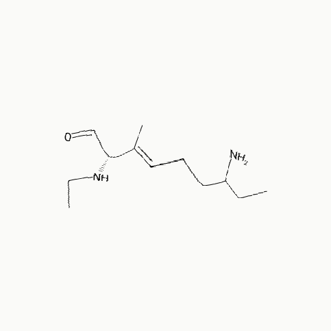 CCN[C@H](C=O)/C(C)=C/CCC(N)CC